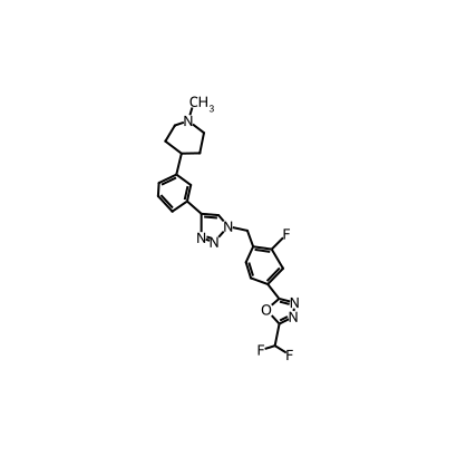 CN1CCC(c2cccc(-c3cn(Cc4ccc(-c5nnc(C(F)F)o5)cc4F)nn3)c2)CC1